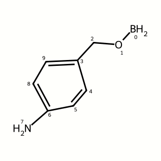 BOCc1ccc(N)cc1